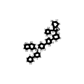 c1ccc(-c2cccc(N(c3ccc(-c4ccc(-c5cccc(-c6oc7ccccc7c6-c6ccccc6)c5)cc4)cc3)c3ccc4ccccc4c3)c2)cc1